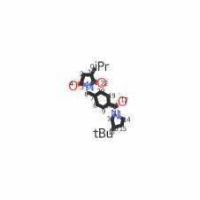 CC(C)C1CC(=O)N(CC2CCC(C(=O)N3CCC(C(C)(C)C)C3)CC2)C1=O